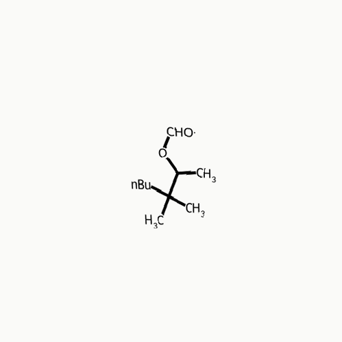 CCCCC(C)(C)C(C)O[C]=O